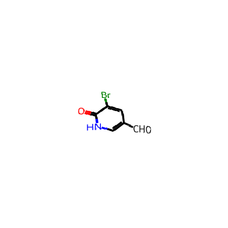 O=Cc1c[nH]c(=O)c(Br)c1